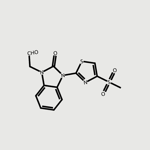 CS(=O)(=O)c1csc(-n2c(=O)n(CC=O)c3ccccc32)n1